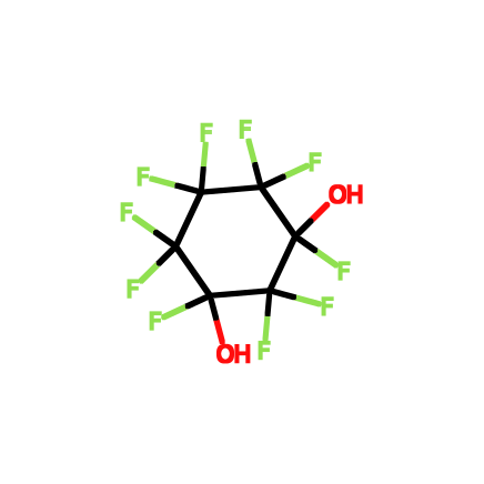 OC1(F)C(F)(F)C(O)(F)C(F)(F)C(F)(F)C1(F)F